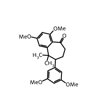 COc1cc(OC)cc(C2CCC(=O)c3c(OC)cc(OC)cc3C2(C)C)c1